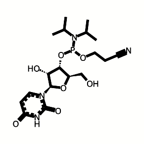 CC(C)N(C(C)C)P(OCCC#N)O[C@H]1[C@@H](O)[C@H](n2ccc(=O)[nH]c2=O)O[C@@H]1CO